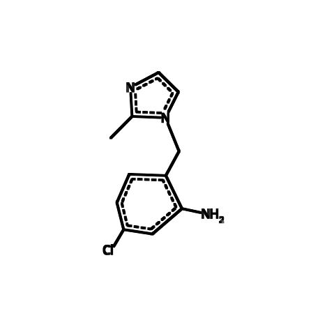 Cc1nccn1Cc1ccc(Cl)cc1N